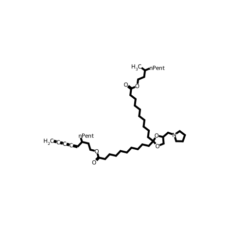 C=C=C=C=CC(CCCCC)CCOC(=O)CCCCCCCCCC1(CCCCCCCCCC(=O)OCCC(C)CCCCC)OCC(CN2CCCC2)O1